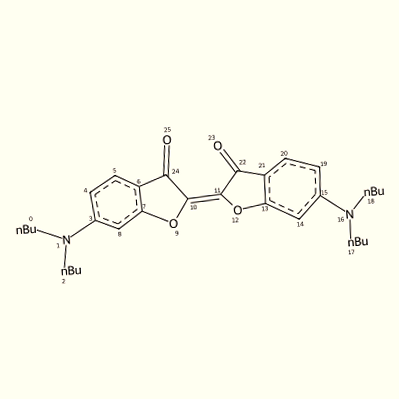 CCCCN(CCCC)c1ccc2c(c1)O/C(=C1\Oc3cc(N(CCCC)CCCC)ccc3C1=O)C2=O